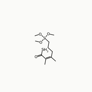 CO[Si](CCCC(C)=C(C)C(=O)[SiH3])(OC)OC